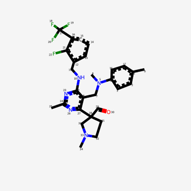 Cc1ccc(N(C)Cc2c(NCc3cccc(C(F)(F)F)c3F)nc(C)nc2C2(C=O)CCN(C)C2)cc1